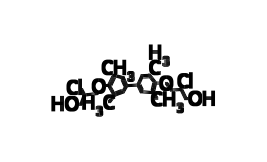 Cc1cc(-c2cc(C)c(OCC(Cl)CO)c(C)c2)cc(C)c1OCC(Cl)CO